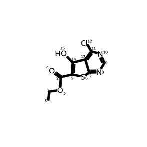 CCOC(=O)c1sc2ncnc(Cl)c2c1O